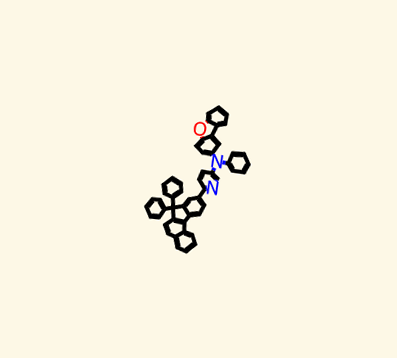 c1ccc(N(c2ccc(-c3ccc4c(c3)C(c3ccccc3)(c3ccccc3)c3ccc5ccccc5c3-4)nc2)c2ccc3oc4ccccc4c3c2)cc1